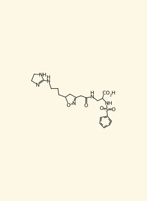 O=C(CC1=NOC(CCCNC2=NCCN2)C1)NCC(NS(=O)(=O)c1ccccc1)C(=O)O